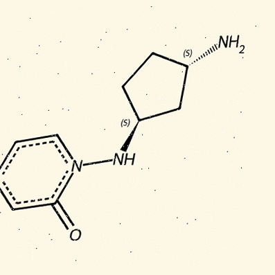 N[C@H]1CC[C@H](Nn2ccncc2=O)C1